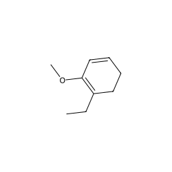 CCC1=C(OC)C=CCC1